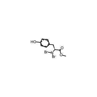 COC(=O)[C@H](Cc1ccc(O)cc1)N(Br)Br